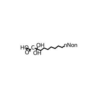 C1CO1.CCCCCCCCCCCCCCCCC(O)(O)C(=O)O